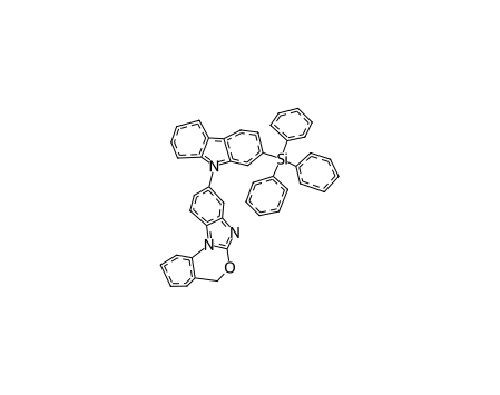 c1ccc([Si](c2ccccc2)(c2ccccc2)c2ccc3c4ccccc4n(-c4ccc5c(c4)nc4n5-c5ccccc5CO4)c3c2)cc1